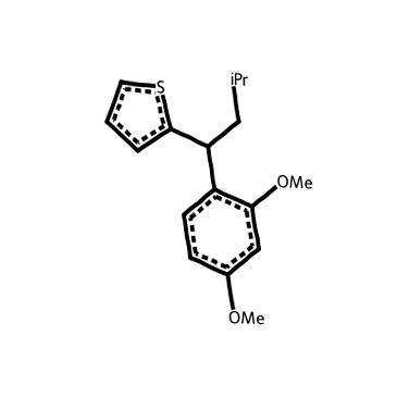 COc1ccc(C(CC(C)C)c2cccs2)c(OC)c1